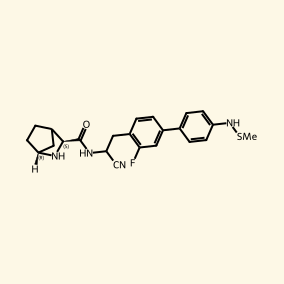 CSNc1ccc(-c2ccc(CC(C#N)NC(=O)[C@H]3N[C@@H]4CCC3C4)c(F)c2)cc1